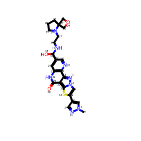 Cn1cc(-c2cn3nc4c5ncc(C(O)NCCN6CCCC67COC7)cc5[nH]c(=O)c4c3s2)cn1